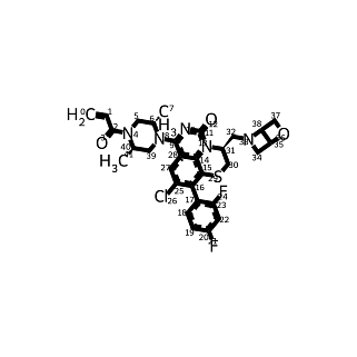 C=CC(=O)N1C[C@H](C)N(c2nc(=O)n3c4c(c(-c5ccc(F)cc5F)c(Cl)cc24)SC[C@@H]3CN2CC3OCC32)C[C@H]1C